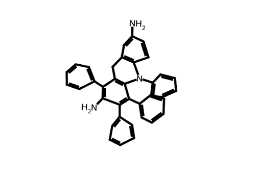 Nc1ccc2c(c1)Cc1c(-c3ccccc3)c(N)c(-c3ccccc3)c(-c3ccccc3)c1N2c1ccccc1